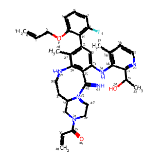 C=CCOc1cccc(F)c1-c1cc(Nc2c(C)ccnc2C(C)O)c2c(c1C)NCCC1CN(C(=O)C=C)CCN1C2=N